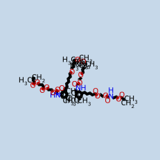 C=C(C)C(=O)OCCNC(=O)OCCOC(=O)CCCCC1CC(C)(C)CC(C)(CNC(=O)OCCOCCC[Si](C)(C)O[Si](C)(C)O[Si](C)(C)CCCOCCCCCCC(=O)C2(C)CC(NC(=O)OCCOC(=O)CCOC(=O)C(=C)C)CC(C)(C)C2)C1